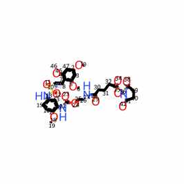 COc1cc(OC)c(/C=C/S(=O)(=O)Nc2ccc(OC)c(NC(=O)OCCNC(=O)CCCC(=O)ON3C(=O)CCC3=O)c2)c(OC)c1